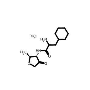 C[C@@H]1OCC(=O)[C@H]1NC(=O)C(N)CC1CCCCC1.Cl